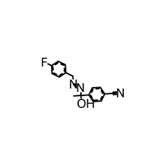 CC(O)(N=NCc1ccc(F)cc1)c1ccc(C#N)cc1